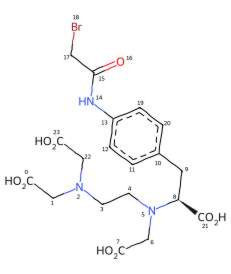 O=C(O)CN(CCN(CC(=O)O)[C@@H](Cc1ccc(NC(=O)CBr)cc1)C(=O)O)CC(=O)O